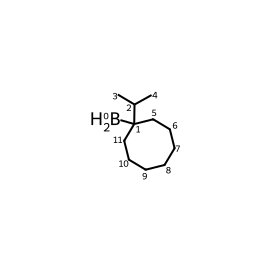 BC1(C(C)C)CCCCCCC1